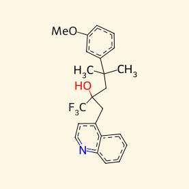 COc1cccc(C(C)(C)CC(O)(Cc2ccnc3ccccc23)C(F)(F)F)c1